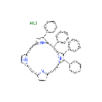 C1=Cc2cc3[nH]c(c(-c4ccccc4)c4nc(cc5ccc(cc1n2)[nH]5)C=C4c1ccccc1)c(-c1ccccc1)c3-c1ccccc1.Cl